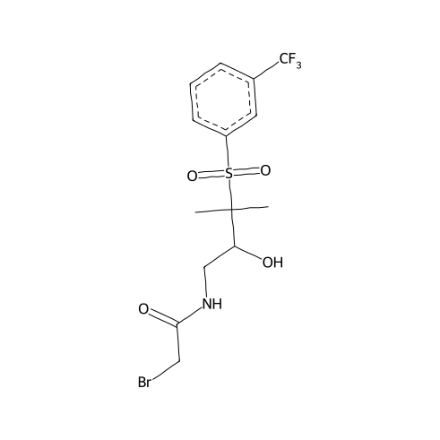 CC(C)(C(O)CNC(=O)CBr)S(=O)(=O)c1cccc(C(F)(F)F)c1